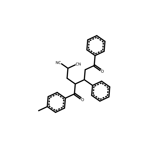 Cc1ccc(C(=O)C(CC(C#N)C#N)C(CC(=O)c2ccccc2)c2ccccc2)cc1